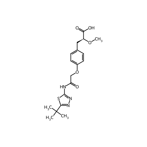 CO[C@@H](Cc1ccc(OCC(=O)Nc2nnc(C(C)(C)C)s2)cc1)C(=O)O